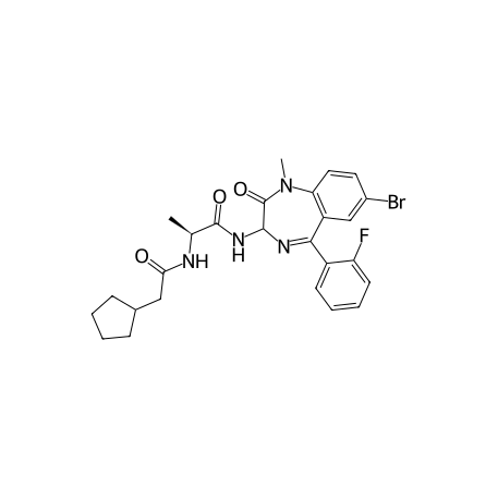 C[C@H](NC(=O)CC1CCCC1)C(=O)NC1N=C(c2ccccc2F)c2cc(Br)ccc2N(C)C1=O